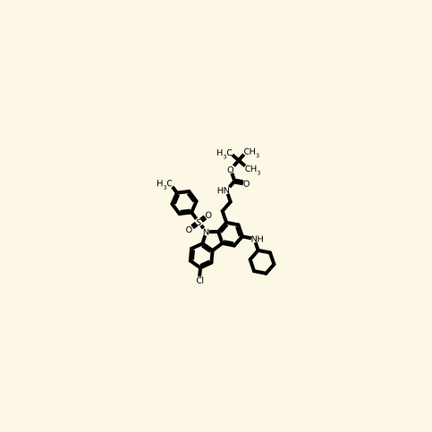 Cc1ccc(S(=O)(=O)n2c3ccc(Cl)cc3c3cc(NC4CCCCC4)cc(CCNC(=O)OC(C)(C)C)c32)cc1